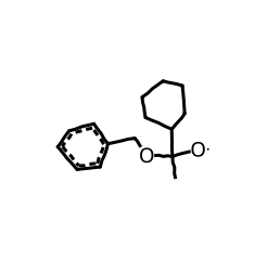 CC([O])(OCc1ccccc1)C1CCCCC1